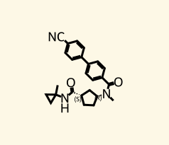 CN(C(=O)c1ccc(-c2ccc(C#N)cc2)cc1)[C@@H]1CC[C@H](C(=O)NC2(C)CC2)C1